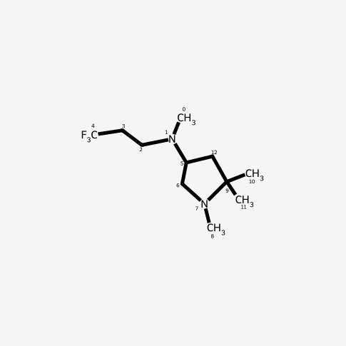 CN(CCC(F)(F)F)C1CN(C)C(C)(C)C1